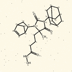 CC1(CCCC(=O)NO)C(=O)N(C23CC4CC(CC(C4)C2)C3)C(=O)N1C1CC2C=CC1C2